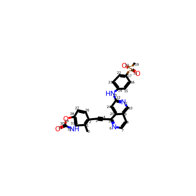 Cc1c(C#Cc2nccc3cnc(Nc4ccc(S(C)(=O)=O)cc4)cc23)ccc2oc(=O)[nH]c12